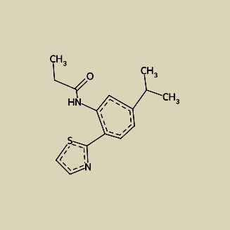 CCC(=O)Nc1cc(C(C)C)ccc1-c1nccs1